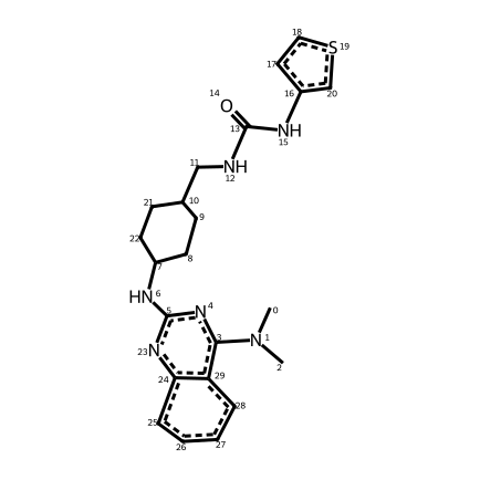 CN(C)c1nc(NC2CCC(CNC(=O)Nc3ccsc3)CC2)nc2ccccc12